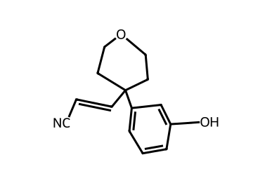 N#CC=CC1(c2cccc(O)c2)CCOCC1